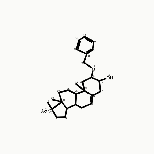 CC(=O)[C@@]1(C)CCC2C3CC=C4CC(O)C(OCc5ccccc5)CC4(C)C3CCC21C